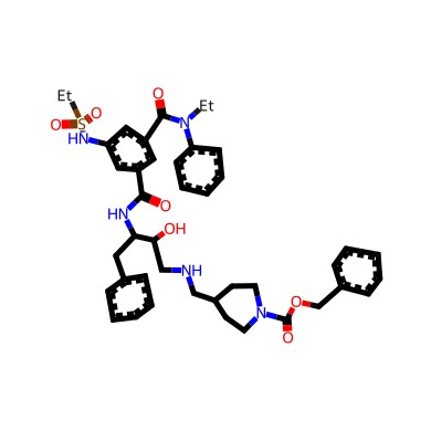 CCN(C(=O)c1cc(NS(=O)(=O)CC)cc(C(=O)NC(Cc2ccccc2)C(O)CNCC2CCN(C(=O)OCc3ccccc3)CC2)c1)c1ccccc1